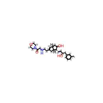 Cc1cccc(C[C@H](O)/C=C/[C@@H]2[C@H]3CC(CCNCC(=O)N4CCOCC4)=C[C@H]3C[C@H]2O)c1